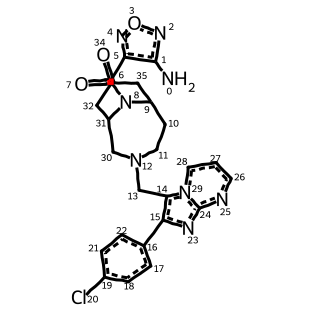 Nc1nonc1C(=O)N1C2CCN(Cc3c(-c4ccc(Cl)cc4)nc4ncccn34)CC1CC(=O)C2